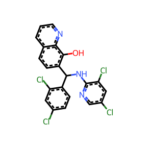 Oc1c(C(Nc2ncc(Cl)cc2Cl)c2ccc(Cl)cc2Cl)ccc2cccnc12